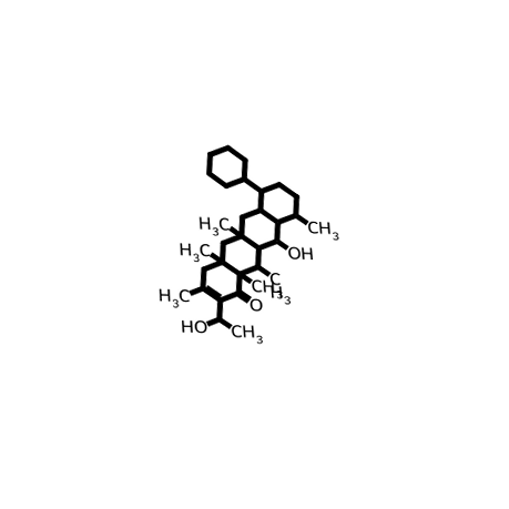 CC1=C(C(C)O)C(=O)C2(C)C(C)C3C(O)C4C(C)CCC(C5CCCCC5)C4CC3(C)CC2(C)C1